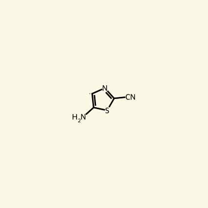 N#Cc1n[c]c(N)s1